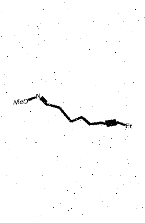 [CH2]CC#CCCCCC=NOC